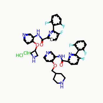 Cl.Cl.O=C(Nc1cnccc1OC1CNC1)c1ccc(F)c(-c2c(F)cccc2F)n1.O=C(Nc1cnccc1OCC1CCNCC1)c1ccc(F)c(-c2c(F)cccc2F)n1